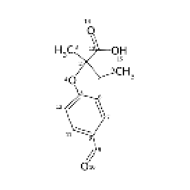 CCC(C)(Oc1ccc(C=O)cc1)C(=O)O